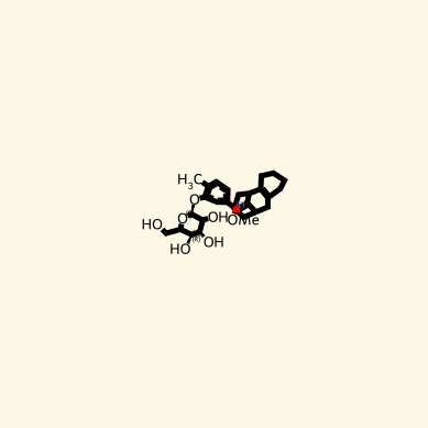 CO/C(=C1\C2CCCC1C1=C(CCCC1)C2)c1ccc(C)c(O[C@@H]2OC(CO)[C@H](O)[C@H](O)C2O)c1